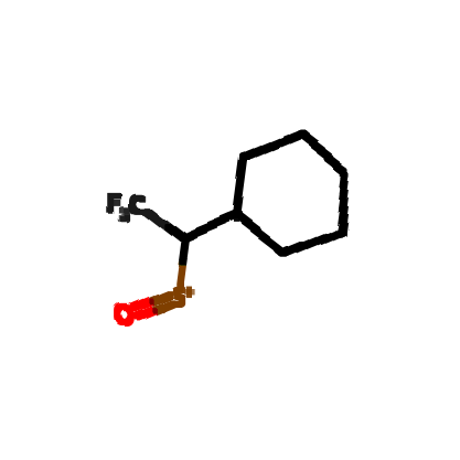 O=[S+]C([C]1CCCCC1)C(F)(F)F